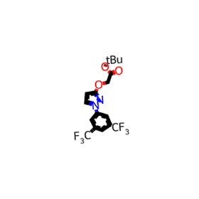 CC(C)(C)OC(=O)COc1ccn(-c2cc(C(F)(F)F)cc(C(F)(F)F)c2)n1